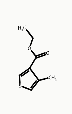 CCOC(=O)c1cscc1C